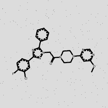 COc1cc(N2CCN(C(=O)Cn3nc(-c4ccc(F)c(Cl)c4)nc3-c3ccccc3)CC2)ncn1